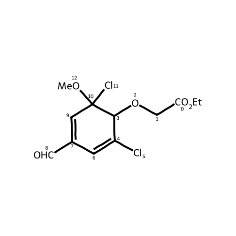 CCOC(=O)COC1C(Cl)=CC(C=O)=CC1(Cl)OC